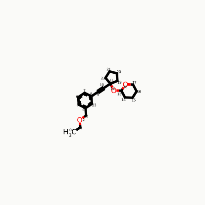 CCOCc1cccc(C#CC2(OC3CCCCO3)CCCC2)c1